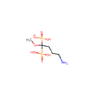 COC(CCCN)(P(=O)(O)O)P(=O)(O)O